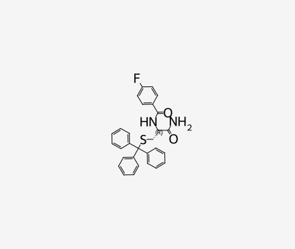 NC(=O)[C@H](CSC(c1ccccc1)(c1ccccc1)c1ccccc1)NC(=O)c1ccc(F)cc1